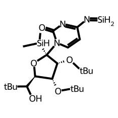 C[SiH](C)[C@@]1(n2ccc(N=[SiH2])nc2=O)O[C@H](C(O)C(C)(C)C)[C@@H](OC(C)(C)C)[C@H]1OC(C)(C)C